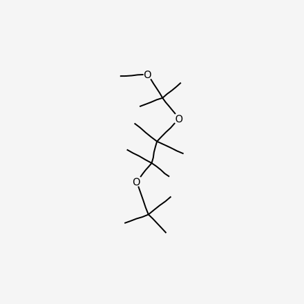 COC(C)(C)OC(C)(C)C(C)(C)OC(C)(C)C